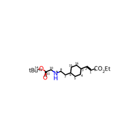 CCOC(=O)/C=C/C1CCC(CCNCC(=O)OC(C)(C)C)CC1